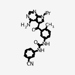 Cc1ccc(NC(=O)Nc2cccc(C#N)c2)cc1C(=O)c1cn(C(C)C)c2ncnc(N)c12